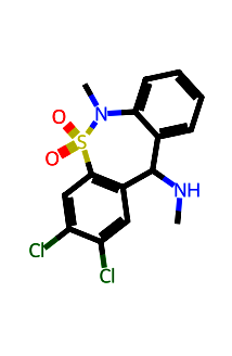 CNC1c2ccccc2N(C)S(=O)(=O)c2cc(Cl)c(Cl)cc21